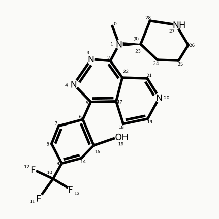 CN(c1nnc(-c2ccc(C(F)(F)F)cc2O)c2ccncc12)[C@@H]1CCCNC1